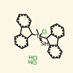 Cl.Cl.[CH3][Ti](=[SiH2])([Cl])([CH]1c2ccccc2-c2ccccc21)[CH]1c2ccccc2-c2ccccc21